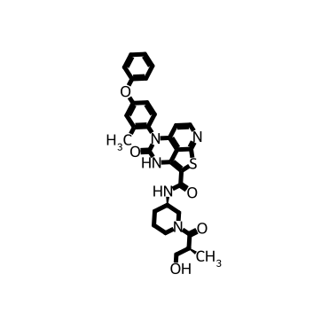 Cc1cc(Oc2ccccc2)ccc1N1C(=O)Nc2c(C(=O)N[C@@H]3CCCN(C(=O)[C@@H](C)CO)C3)sc3nccc1c23